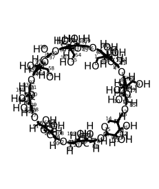 OC[C@H]1O[C@@H]2O[C@H]3[C@@H](O)[C@@H](O)[C@@H](O[C@@H]4CO[C@H](O[C@@H]5CO[C@H](O[C@@H]6CO[C@H](O[C@@H]7CO[C@H](O[C@H]8[C@@H](O)C[C@@](O)(O[C@H]9[C@@H](O)[C@@H](O)[C@@H](O[C@H]1[C@@H](O)[C@H]2O)O[C@@H]9CO)O[C@@H]8CO)[C@H](O)[C@@H]7O)[C@H](O)[C@@H]6O)[C@H](O)[C@@H]5O)[C@H](O)[C@@H]4O)O[C@@H]3CO